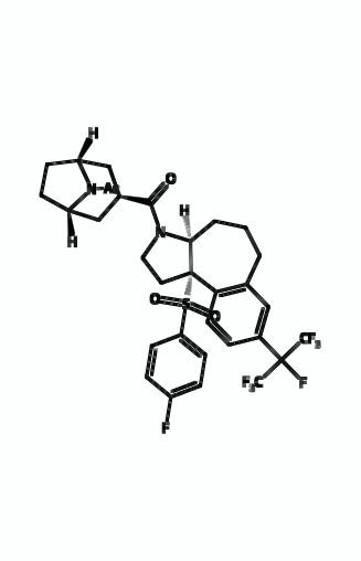 CC(=O)N1[C@@H]2CC[C@H]1C[C@H](C(=O)N1CC[C@]3(S(=O)(=O)c4ccc(F)cc4)c4ccc(C(F)(C(F)(F)F)C(F)(F)F)cc4CCC[C@H]13)C2